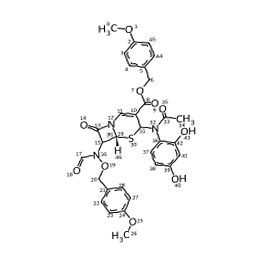 COc1ccc(COC(=O)C2=CN3C(=O)C(N(C=O)OCc4ccc(OC)cc4)[C@H]3SC2N(C(C)=O)c2ccc(O)cc2O)cc1